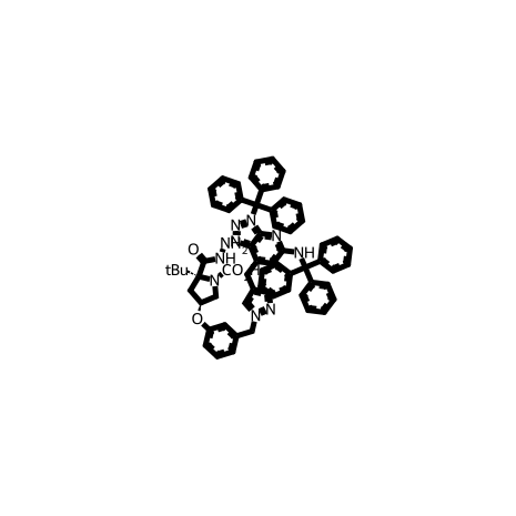 CC(C)(C)[C@@]1(C(=O)NN)C[C@@H](Oc2cccc(Cn3cc(Cc4cc(NC(c5ccccc5)(c5ccccc5)c5ccccc5)nc5c4nnn5C(c4ccccc4)(c4ccccc4)c4ccccc4)cn3)c2)CN1C(=O)O